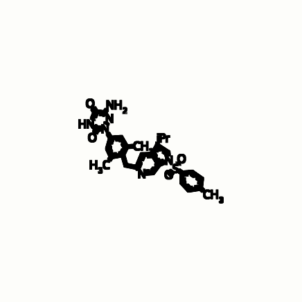 Cc1ccc(S(=O)(=O)n2cc(C(C)C)c3cc(Cc4c(C)cc(-n5nc(N)c(=O)[nH]c5=O)cc4C)ncc32)cc1